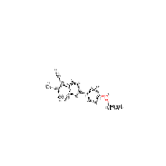 CCCCCCCOc1ccc(-c2ccc(C(CC)C(CC)C(=O)O)cc2)cc1